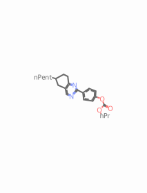 CCCCCC1CCc2nc(-c3ccc(OC(=O)OCCC)cc3)ncc2C1